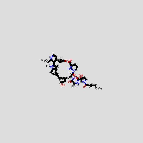 CCn1c(-c2cccnc2COC)c2c3cc(ccc31)-c1cc(O)cc(c1)C[C@H](NC(=O)[C@H](C(C)C)N(C)C(=O)C1(O)CCN(C(=O)C#CCOC)C1)C(=O)N1CCC[C@H](N1)C(=O)OCC(C)(C)C2